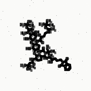 C=C(NCC[C@H](O)C(=O)N[C@@H]1C[C@H](NC(=O)OC(C)(C)C)[C@@H](O[C@H]2OC(CNCC(O)CCCN3C(=O)c4ccccc4C3=O)=CC[C@H]2NC(=O)CC(C)(C)C)[C@H](O)[C@H]1O[C@H]1OC[C@](C)(O)[C@H](N(C)C(=O)OC(C)(C)C)[C@H]1O)OC(C)(C)C